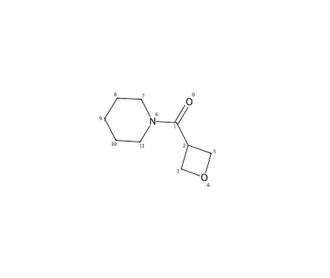 O=C(C1COC1)N1CC[CH]CC1